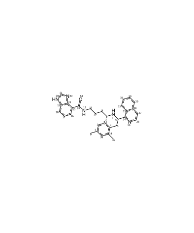 Cc1cnc(CC(NCCCCNC(=O)c2cccc3[nH]cnc23)c2nccc3ccccc23)c(C)c1